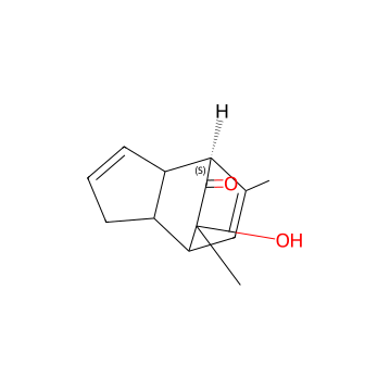 CC1=CC2C3CC=CC3[C@@H]1C(=O)C2(C)O